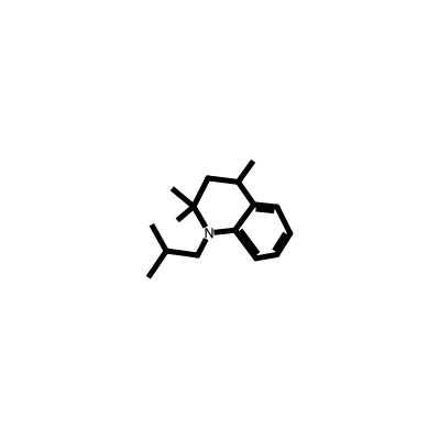 CC(C)CN1c2ccccc2C(C)CC1(C)C